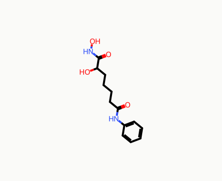 O=C(CCCCC(O)C(=O)NO)Nc1ccccc1